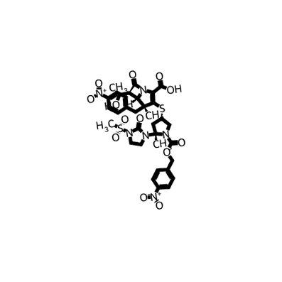 C[C@@H](O)[C@H]1C(=O)N2C(C(=O)O)=C(S[C@@H]3CN(C(=O)OCc4ccc([N+](=O)[O-])cc4)[C@](C)(N4CCN(S(C)(=O)=O)C4=O)C3)[C@](C)(Cc3ccc([N+](=O)[O-])cc3)[C@H]12